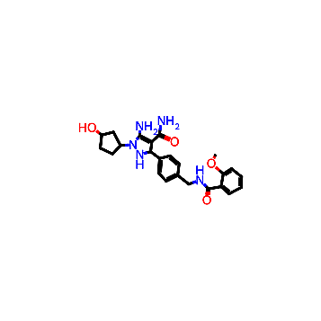 COc1ccccc1C(=O)NCc1ccc(C2NN(C3CCC(O)C3)C(N)=C2C(N)=O)cc1